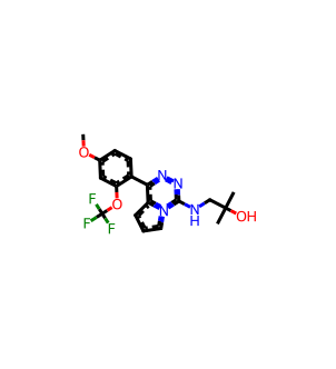 COc1ccc(-c2nnc(NCC(C)(C)O)n3cccc23)c(OC(F)(F)F)c1